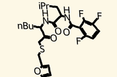 CCCCC(NC(=O)C(CC(C)C)NC(=O)c1c(F)ccc(F)c1F)C(=O)CSCc1ccco1